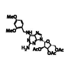 COc1ccc(CNc2nc(N)nc3c2ncn3[C@@H]2O[C@H](COC(C)=O)[C@@H](OC(C)=O)[C@H]2OC(C)=O)c(OC)c1